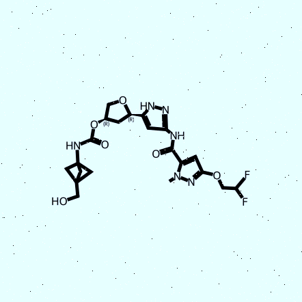 Cn1nc(OCC(F)F)cc1C(=O)Nc1cc([C@H]2C[C@@H](OC(=O)NC34CC(CO)(C3)C4)CO2)[nH]n1